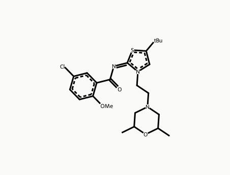 COc1ccc(Cl)cc1C(=O)N=c1sc(C(C)(C)C)cn1CCN1CC(C)OC(C)C1